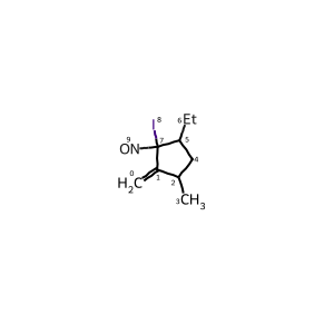 C=C1C(C)CC(CC)C1(I)N=O